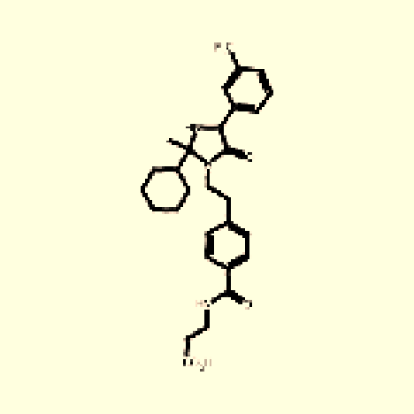 CC1(C2CCCCC2)NC(c2cccc(C(F)(F)F)c2)C(=O)N1CCc1ccc(C(=O)NCCC(=O)O)cc1